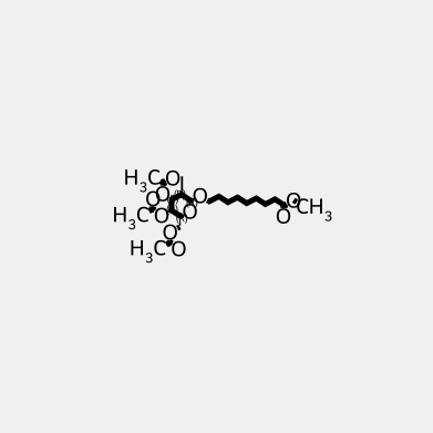 COC(=O)CCCCCCCCO[C@@H]1O[C@H](COC(C)=O)[C@@H](OC(C)=O)[C@H](OC(C)=O)[C@H]1I